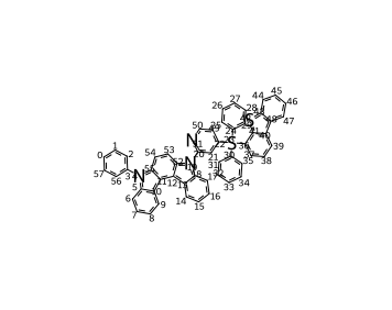 c1ccc(-n2c3ccccc3c3c4c5ccccc5n(-c5cc(S(c6ccccc6)(c6ccccc6)c6cccc7c6sc6ccccc67)ccn5)c4ccc32)cc1